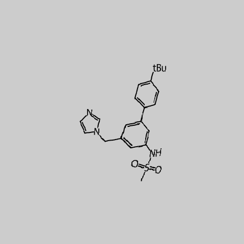 CC(C)(C)c1ccc(-c2cc(Cn3ccnc3)cc(NS(C)(=O)=O)c2)cc1